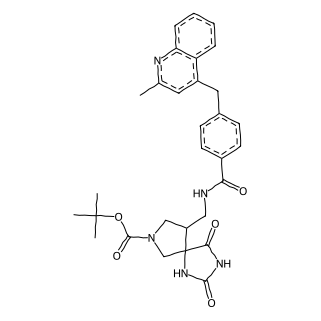 Cc1cc(Cc2ccc(C(=O)NCC3CN(C(=O)OC(C)(C)C)CC34NC(=O)NC4=O)cc2)c2ccccc2n1